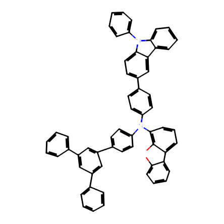 c1ccc(-c2cc(-c3ccccc3)cc(-c3ccc(N(c4ccc(-c5ccc6c(c5)c5ccccc5n6-c5ccccc5)cc4)c4cccc5c4oc4ccccc45)cc3)c2)cc1